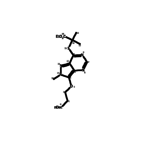 CCCCCCCCCCCCOc1c2ncnc(SC(C)(C)C(=O)OCC)c2nn1C